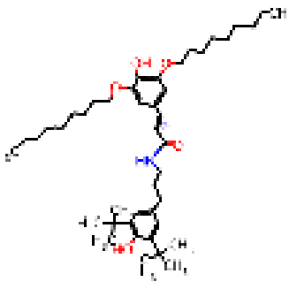 CCCCCCCCCOc1cc(/C=C/C(=O)NCCCc2cc(C(C)(C)C)c(O)c(C(C)(C)C)c2)cc(OCCCCCCCCC)c1O